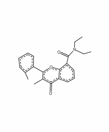 CCN(CC)C(=O)c1cccc2c(=O)c(C)c(-c3ccccc3C)oc12